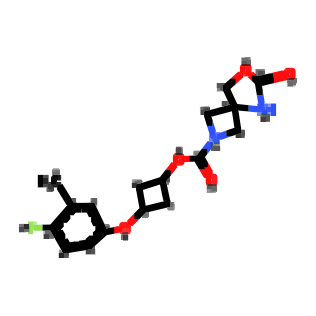 Cc1cc(OC2CC(OC(=O)N3CC4(COC(=O)N4)C3)C2)ccc1F